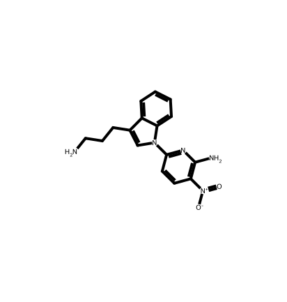 NCCCc1cn(-c2ccc([N+](=O)[O-])c(N)n2)c2ccccc12